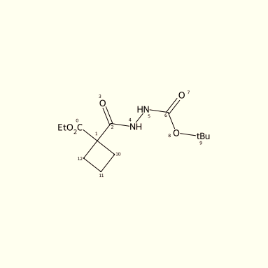 CCOC(=O)C1(C(=O)NNC(=O)OC(C)(C)C)CCC1